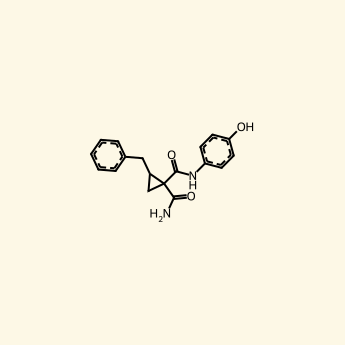 NC(=O)C1(C(=O)Nc2ccc(O)cc2)CC1Cc1ccccc1